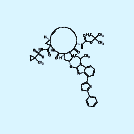 CC(C)n1c(O[C@@H]2C[C@H]3C(=O)N[C@]4(C(=O)NS(=O)(=O)C5(C)CC5)C[C@H]4/C=C\CCCCC[C@H](NC(=O)OC(C)(C)C)C(=O)N3C2)nc2c(-c3csc(-c4ccccc4)n3)cccc21